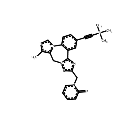 Cc1ncn2c1Cn1nc(Cn3ccccc3=O)nc1-c1cc(C#C[Si](C)(C)C)ccc1-2